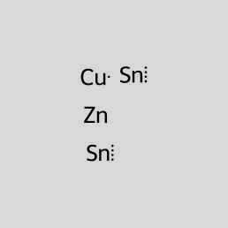 [Cu].[Sn].[Sn].[Zn]